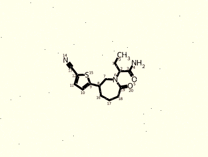 CCC(C(N)=O)N1CC(c2ccc(C#N)s2)CCCC1=O